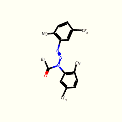 CCC(=O)N(/N=N/c1cc(C(F)(F)F)ccc1C#N)c1cc(C(F)(F)F)ccc1C#N